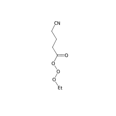 CCOOOC(=O)CCCC#N